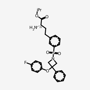 CC(C)OC(=O)[C@@H](N)CCc1cccc(S(=O)(=O)N2CC(Oc3ccc(F)cc3)(c3ccccc3)C2)c1